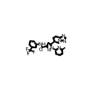 Cc1cccc(-n2nc(C(=O)Nc3cccc(C(F)(F)F)c3)cc2-c2ccc3ncnn3c2)n1